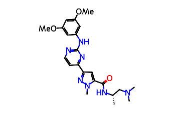 COc1cc(Nc2nccc(-c3cc(C(=O)N[C@@H](C)CN(C)C)n(C)n3)n2)cc(OC)c1